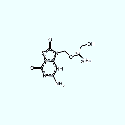 CC[C@H](C)[C@@H](CO)OCn1c(=O)sc2c(=O)nc(N)[nH]c21